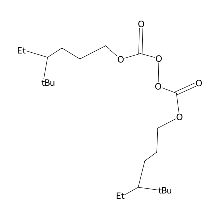 CCC(CCCOC(=O)OOC(=O)OCCCC(CC)C(C)(C)C)C(C)(C)C